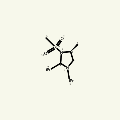 CC(C)C1N(C(C)C)C[C@H](C)N1S(C)(=O)=O